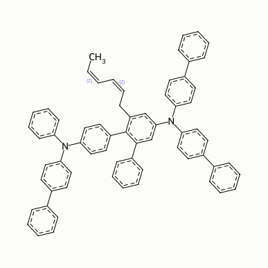 C/C=C\C=C/Cc1cc(N(c2ccc(-c3ccccc3)cc2)c2ccc(-c3ccccc3)cc2)cc(-c2ccccc2)c1-c1ccc(N(c2ccccc2)c2ccc(-c3ccccc3)cc2)cc1